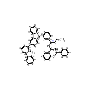 CC/C=C(/NC(NC(C)c1ccccc1)c1ccccc1)c1cccc(-n2c3ccccc3c3cc(-c4cccc5c4sc4ccccc45)ccc32)c1